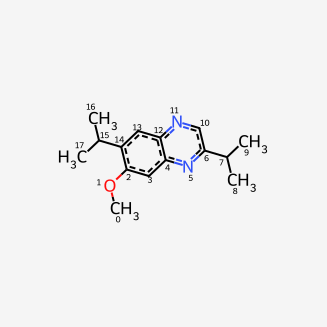 COc1cc2nc(C(C)C)cnc2cc1C(C)C